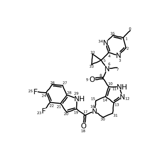 Cc1cnc(C2(N(C)C(=O)c3[nH]nc4c3CN(C(=O)c3cc5c(F)c(F)ccc5[nH]3)CC4)CC2)nc1